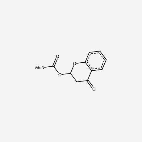 CNC(=O)OC1CC(=O)c2ccccc2O1